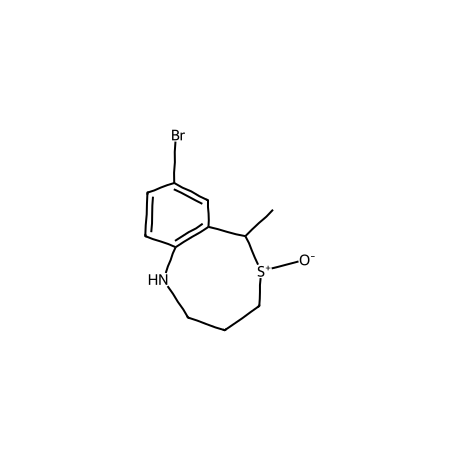 CC1c2cc(Br)ccc2NCCC[S+]1[O-]